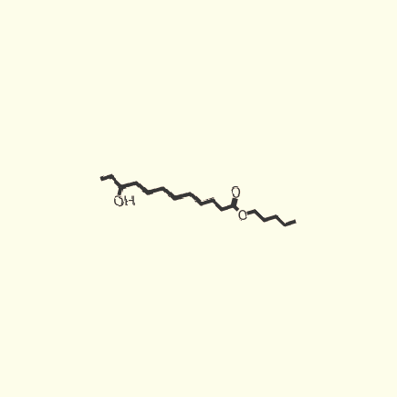 CCCCCOC(=O)CCCCCCCCC(O)CC